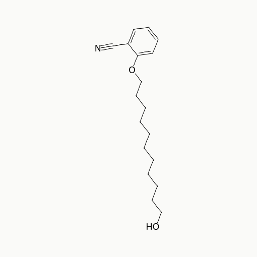 N#Cc1ccccc1OCCCCCCCCCCCO